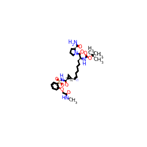 CNC(=O)COc1ccccc1S(=O)(=O)NC(=O)[C@H]1C[C@H]1/C=C\CCCCC[C@H](NC(=O)OC(C)(C)C)C(=O)N1CCC[C@H]1C(N)=O